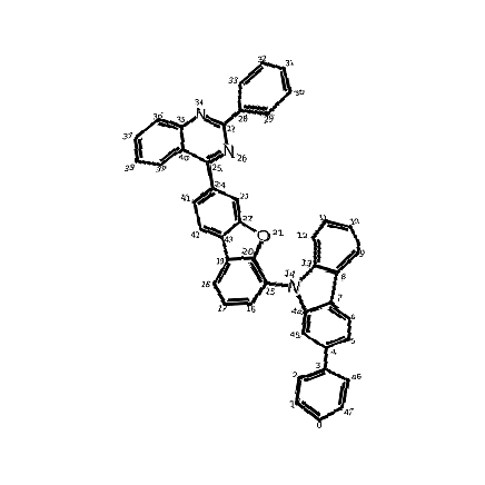 c1ccc(-c2ccc3c4ccccc4n(-c4cccc5c4oc4cc(-c6nc(-c7ccccc7)nc7ccccc67)ccc45)c3c2)cc1